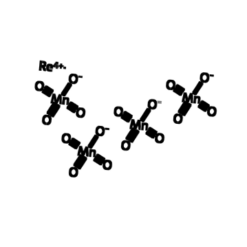 [O]=[Mn](=[O])(=[O])[O-].[O]=[Mn](=[O])(=[O])[O-].[O]=[Mn](=[O])(=[O])[O-].[O]=[Mn](=[O])(=[O])[O-].[Re+4]